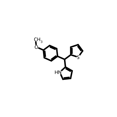 COc1ccc(C(c2ccc[nH]2)c2cccs2)cc1